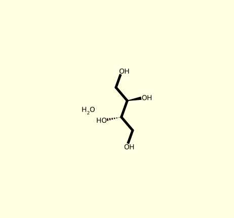 O.OC[C@@H](O)[C@@H](O)CO